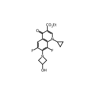 CCOC(=O)c1cn(C2CC2)c2c(F)c(N3CC(O)C3)c(F)cc2c1=O